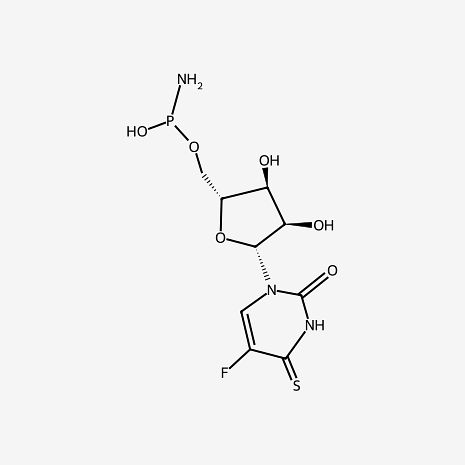 NP(O)OC[C@H]1O[C@@H](n2cc(F)c(=S)[nH]c2=O)[C@H](O)[C@@H]1O